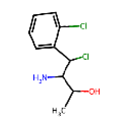 CC(O)C(N)C(Cl)c1ccccc1Cl